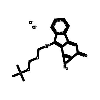 C[Si](C)(C)OCO[CH2][Ti+2][C]1=C2C(=CC(=O)C3=C2[SiH2]3)c2ccccc21.[Cl-].[Cl-]